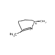 CC1=N[C@H](C)CC1